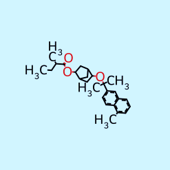 CCC(C)C(=O)OC1CC2CC1CC2OC(C)(C)c1ccc2c(C)cccc2c1